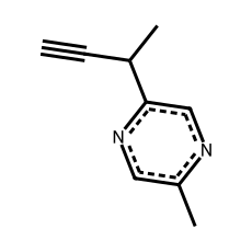 C#CC(C)c1cnc(C)cn1